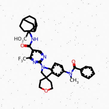 CN(C(=O)c1ccccc1)c1ccc2c(c1)C1(CCOCC1)CN2c1ncc(C(=O)NC2(C(=O)O)C3CCC4CC(C3)CC2C4)c(C(F)(F)F)n1